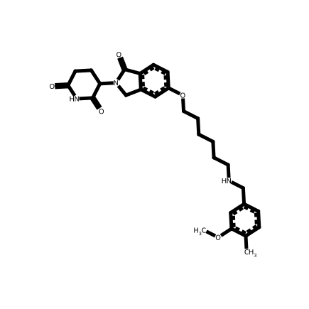 COc1cc(CNCCCCCCOc2ccc3c(c2)CN(C2CCC(=O)NC2=O)C3=O)ccc1C